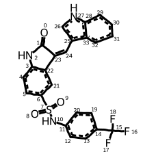 O=C1Nc2ccc(S(=O)(=O)Nc3ccc(C(F)(F)F)cc3)cc2C1=Cc1c[nH]c2ccccc12